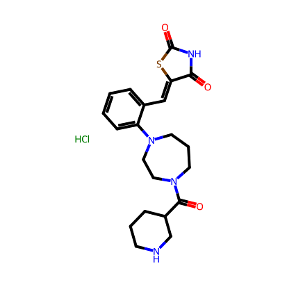 Cl.O=C1NC(=O)/C(=C/c2ccccc2N2CCCN(C(=O)C3CCCNC3)CC2)S1